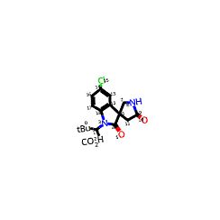 CC(C)(C)C(C(=O)O)N1C(=O)C2(CNC(=O)C2)c2cc(Cl)ccc21